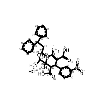 CC1=C(C(=O)O)C(c2cccc([N+](=O)[O-])c2)C(C(=O)O)C(C)(C(C)N)N1CCC(c1ccccc1)c1ccccc1.Cl